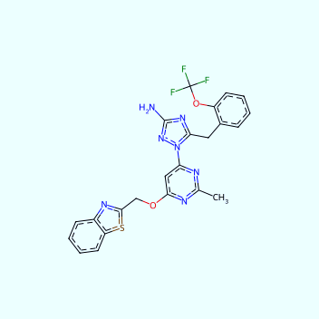 Cc1nc(OCc2nc3ccccc3s2)cc(-n2nc(N)nc2Cc2ccccc2OC(F)(F)F)n1